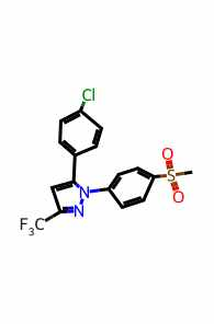 CS(=O)(=O)c1ccc(-n2nc(C(F)(F)F)cc2-c2ccc(Cl)cc2)cc1